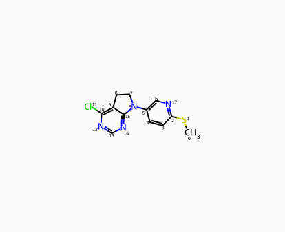 CSc1ccc(N2CCc3c(Cl)ncnc32)cn1